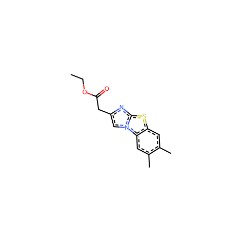 CCOC(=O)Cc1cn2c(n1)sc1cc(C)c(C)cc12